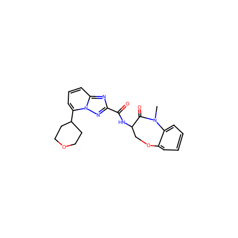 CN1C(=O)C(NC(=O)c2nc3cccc(C4CCOCC4)n3n2)COc2ccccc21